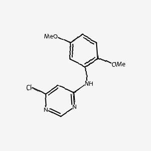 COc1ccc(OC)c(Nc2cc(Cl)ncn2)c1